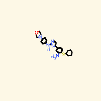 Nc1cc(-c2ccnc(Nc3ccc(N4CCOCC4)cc3)n2)ccc1SC1CCCCC1